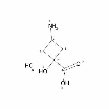 Cl.NC1CC(O)(C(=O)O)C1